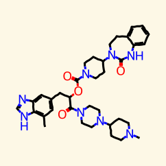 Cc1cc(CC(OC(=O)N2CCC(N3CCc4ccccc4NC3=O)CC2)C(=O)N2CCN(C3CCN(C)CC3)CC2)cc2nc[nH]c12